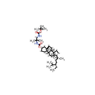 CC[C@H](CC[C@@H](C)[C@H]1CC[C@H]2[C@@H]3CC=C4C[C@@H](OC(=O)NC(C)(C)CNC(=O)OC(C)(C)C)CC[C@]4(C)[C@H]3CC[C@]12C)C(C)C